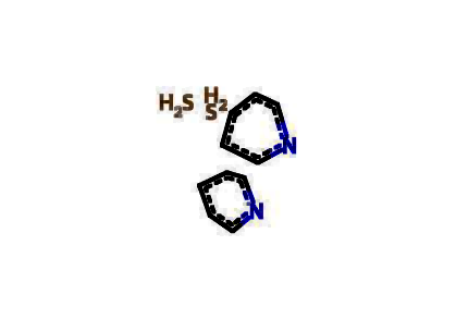 S.S.c1ccncc1.c1ccncc1